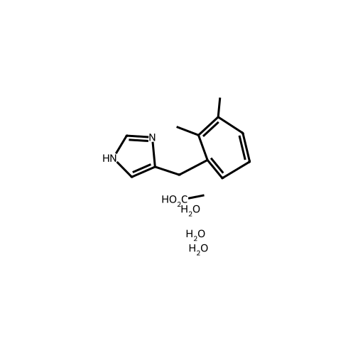 CC(=O)O.Cc1cccc(Cc2c[nH]cn2)c1C.O.O.O